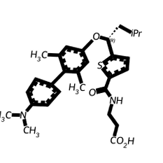 Cc1cc(O[C@H](CC(C)C)c2ccc(C(=O)NCCC(=O)O)s2)cc(C)c1-c1ccc(N(C)C)cc1